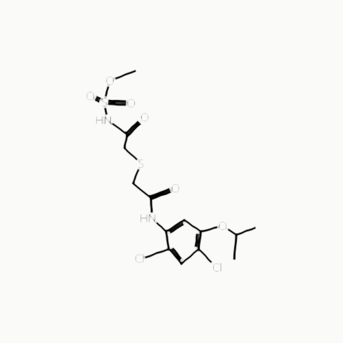 COS(=O)(=O)NC(=O)CSCC(=O)Nc1cc(OC(C)C)c(Cl)cc1Cl